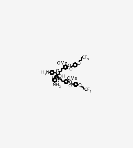 COc1cc(C=CC(=O)CC(Cc2ccc(N)cc2)(Cc2ccc(N)cc2)C(O)(O)C(=O)C=Cc2ccc(OC(=O)c3ccc(OCCCC(F)(F)F)cc3)c(OC)c2)ccc1OC(=O)c1ccc(OCCCC(F)(F)F)cc1